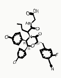 CCCC(C(=O)NCC(=O)O)N1C(=O)[C@H](Cc2ccc(C#N)c(F)c2)O[C@@H](c2ccc(Cl)cc2)[C@H]1c1ccc(Cl)cc1